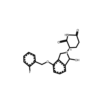 O=C1CC[C@@H](N2Cc3c(OCc4ccccc4F)cccc3C2O)C(=O)N1